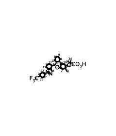 Cc1cc(OC(c2ccccc2)c2cccc3c2cnn3-c2ccc(C(F)(F)F)cc2)ccc1OC(C)(C)C(=O)O